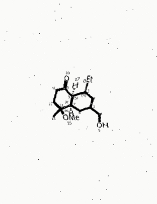 CC[C@H]1CC(CO)C[C@@H]2[C@H]1C(=O)CCC2(C)OC